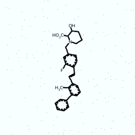 Cc1c(C=Cc2ccc(CN3CCCC(O)C3C(=O)O)cc2F)cccc1-c1ccccc1